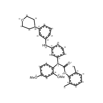 COc1ccc(N(C(=O)Oc2c(C)cccc2C)c2ccnc(Nc3cccc(N4CCOCC4)c3)n2)c(OC)c1